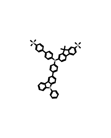 CC1(C)c2cc(N(c3ccc(-c4ccc([Si](C)(C)C)cc4)cc3)c3ccc(-c4ccc5c(c4)c4ccccc4n5-c4ccccc4)cc3)ccc2-c2ccc([Si](C)(C)C)cc21